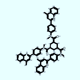 Cc1cc(-c2ccc(N(C)C(=O)C3CC(C(=O)N(C)c4ccc(-c5cc(C)c6ccccc6n5)cc4)CC(C(=O)N(C)c4ccc(-c5cc(C)c6ccccc6n5)cc4)C3)cc2)nc2ccccc12